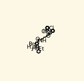 CCC1(NCc2cc(C(=O)NCCCCCOC(=O)Cc3ccccc3Nc3c(Cl)cccc3Cl)cc(Br)c2N)CCCCC1